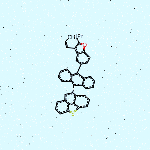 C/C=C\c1c(C(C)C)oc2ccc(-c3c4ccccc4c(-c4cc5cccc6sc7cccc4c7c56)c4ccccc34)cc12